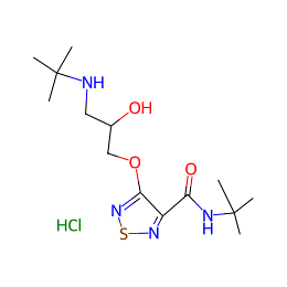 CC(C)(C)NCC(O)COc1nsnc1C(=O)NC(C)(C)C.Cl